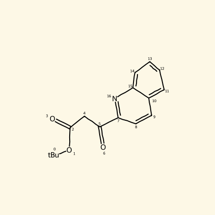 CC(C)(C)OC(=O)CC(=O)c1ccc2ccccc2n1